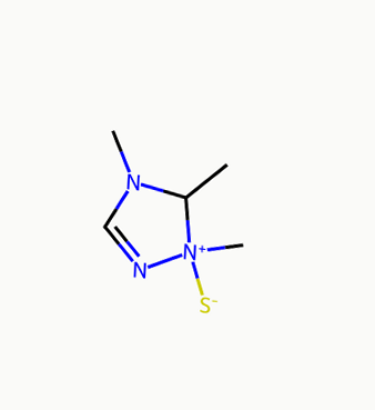 CC1N(C)C=N[N+]1(C)[S-]